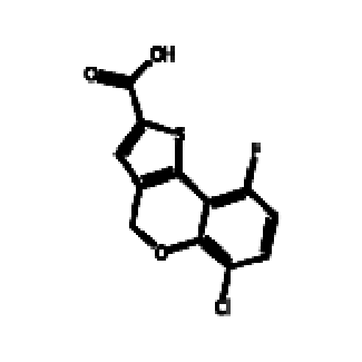 O=C(O)c1cc2c(s1)-c1c(F)ccc(Cl)c1OC2